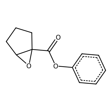 O=C(Oc1ccccc1)C12CCCC1O2